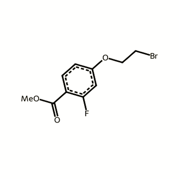 COC(=O)c1ccc(OCCBr)cc1F